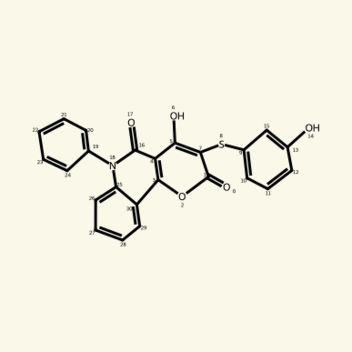 O=c1oc2c(c(O)c1Sc1cccc(O)c1)c(=O)n(-c1ccccc1)c1ccccc21